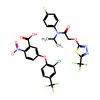 CC(C)N(C(=O)COc1nnc(C(F)(F)F)s1)c1ccc(F)cc1.O=C(O)c1cc(Oc2ccc(C(F)(F)F)cc2Cl)ccc1[N+](=O)[O-]